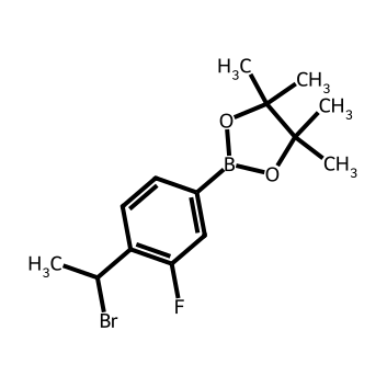 CC(Br)c1ccc(B2OC(C)(C)C(C)(C)O2)cc1F